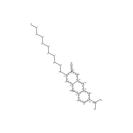 CCCCCCCCCCCc1cc2nc3ccc(N(C)C)cc3sc-2cc1=O